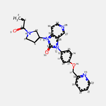 C=CC(=O)N1CCC(n2c(=O)n(-c3ccc(OCc4ccccn4)cc3)c3cnccc32)C1